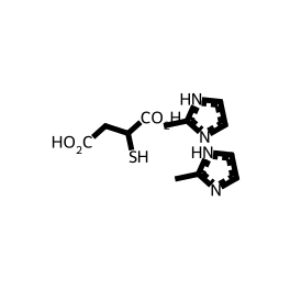 Cc1ncc[nH]1.Cc1ncc[nH]1.O=C(O)CC(S)C(=O)O